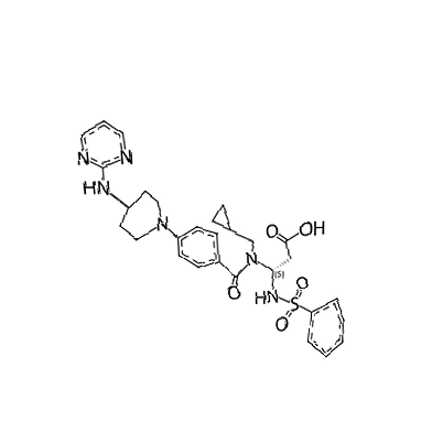 O=C(O)C[C@H](NS(=O)(=O)c1ccccc1)N(CC1CC1)C(=O)c1ccc(N2CCC(Nc3ncccn3)CC2)cc1